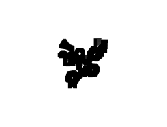 CCC(O)C(CC1CC1)C(=O)NC1CN(Cc2cccnc2)c2ccccc2C(c2ccc(C(F)(F)F)cc2)=N1